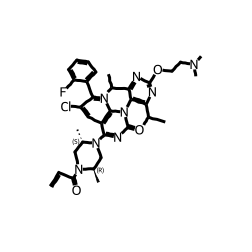 C=CC(=O)N1C[C@H](C)N(c2nc(=O)n(-c3c(C(C)C)nc(OCCN(C)C)nc3C(C)C)c3nc(-c4ccccc4F)c(Cl)cc23)C[C@H]1C